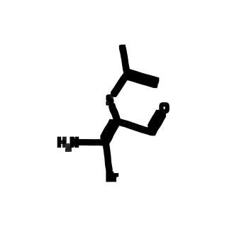 C=C(C)S/C(C=O)=C(\N)Br